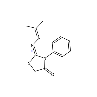 CC(C)=N/N=C1/SCC(=O)N1c1ccccc1